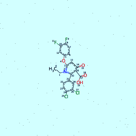 CCn1c(Oc2ccc(F)c(F)c2)cc(=O)c(C(=O)O)c1-c1ccc(Cl)c(Cl)c1